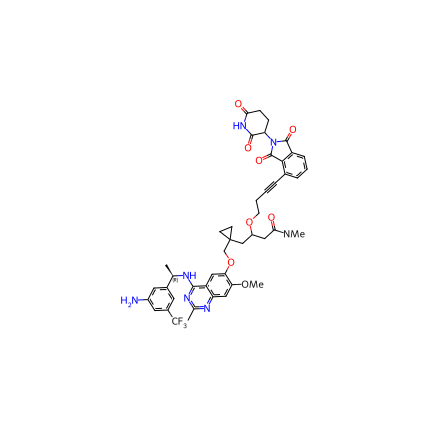 CNC(=O)CC(CC1(COc2cc3c(N[C@H](C)c4cc(N)cc(C(F)(F)F)c4)nc(C)nc3cc2OC)CC1)OCCC#Cc1cccc2c1C(=O)N(C1CCC(=O)NC1=O)C2=O